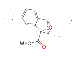 COC(=O)C12CCC(O1)c1ccccc12